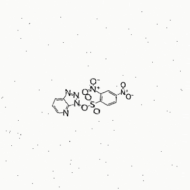 O=[N+]([O-])c1ccc(S(=O)(=O)On2nnc3cccnc32)c([N+](=O)[O-])c1